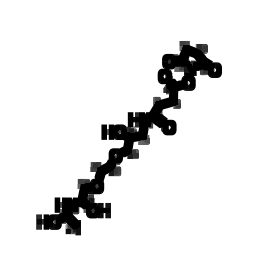 O=C(CCC(=O)ON1C(=O)CCC1=O)NCC(O)COCCOCC(O)NC(O)I